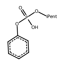 CCCC(C)OP(=O)(O)Oc1ccccc1